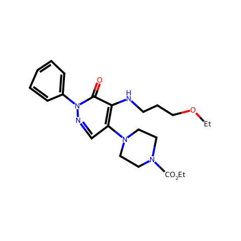 CCOCCCNc1c(N2CCN(C(=O)OCC)CC2)cnn(-c2ccccc2)c1=O